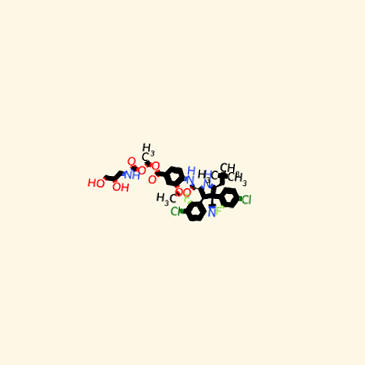 COc1cc(C(=O)OC(C)OC(=O)NCC(O)CO)ccc1NC(=O)[C@@H]1N[C@@H](CC(C)(C)C)[C@](C#N)(c2ccc(Cl)cc2F)[C@H]1c1cccc(Cl)c1F